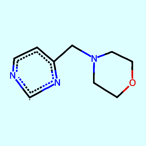 [c]1nccc(CN2CCOCC2)n1